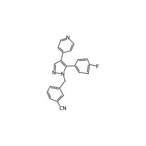 N#Cc1cccc(Cn2ncc(-c3ccncc3)c2-c2ccc(F)cc2)c1